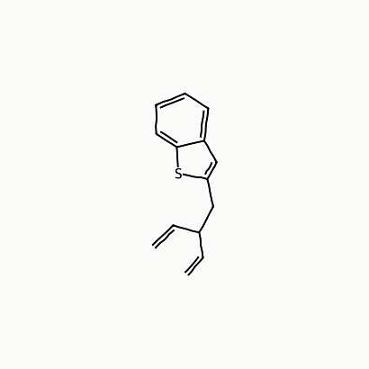 C=CC(C=C)Cc1cc2ccccc2s1